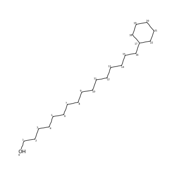 OCCCCCCCCCCCCCCCCC1CCCCC1